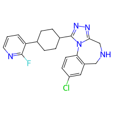 Fc1ncccc1C1CCC(c2nnc3n2-c2ccc(Cl)cc2CNC3)CC1